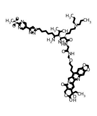 CCCN(CCC)CCCC[C@H](C(=O)NCC(=O)NCOCCCc1c2c(nc3cc4c(cc13)OCO4)-c1cc3c(c(=O)n1C2)COC(=O)[C@]3(O)CC)C(N)[C@@H](C(C)C)C(N)CCCCCn1cc(-c2cnc(S(C)(=O)=O)nc2)nn1